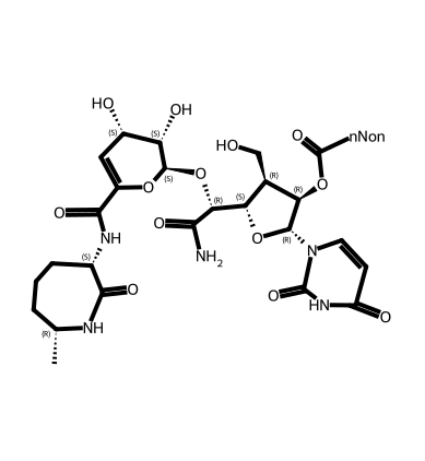 CCCCCCCCCC(=O)O[C@@H]1[C@H](CO)[C@@H]([C@@H](O[C@H]2OC(C(=O)N[C@H]3CCC[C@@H](C)NC3=O)=C[C@H](O)[C@@H]2O)C(N)=O)O[C@H]1n1ccc(=O)[nH]c1=O